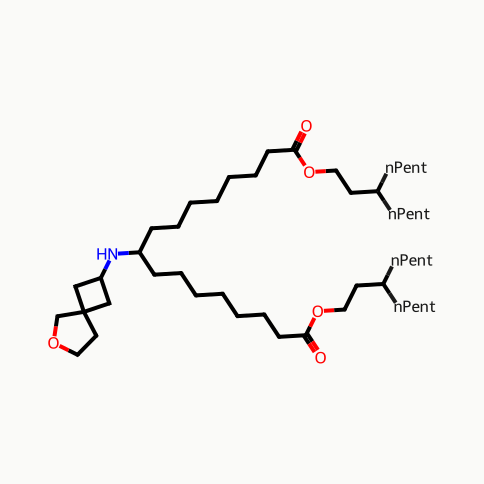 CCCCCC(CCCCC)CCOC(=O)CCCCCCCC(CCCCCCCC(=O)OCCC(CCCCC)CCCCC)NC1CC2(CCOC2)C1